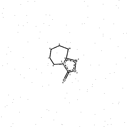 O=c1onc2n1CCCCC2